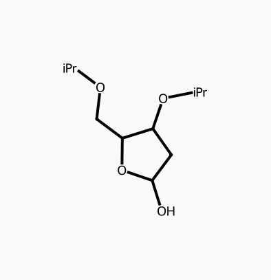 CC(C)OCC1OC(O)CC1OC(C)C